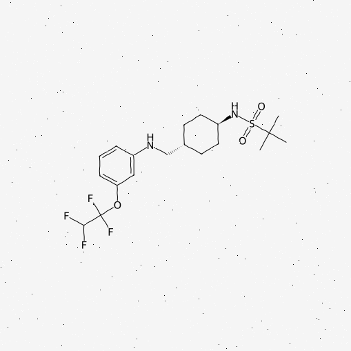 CC(C)(C)S(=O)(=O)N[C@H]1CC[C@H](CNc2cccc(OC(F)(F)C(F)F)c2)CC1